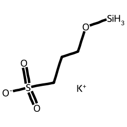 O=S(=O)([O-])CCCO[SiH3].[K+]